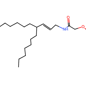 CCCCCCCC(/C=C/CNC(=O)COC)CCCCCC